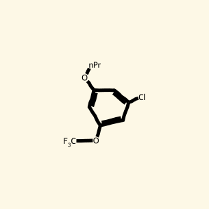 CCCOc1cc(Cl)cc(OC(F)(F)F)c1